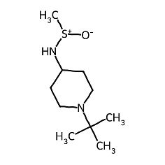 C[S+]([O-])NC1CCN(C(C)(C)C)CC1